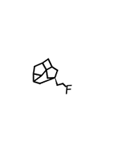 FCC[C@]12CC3C4CC5CC(C1)C5(C2)C43